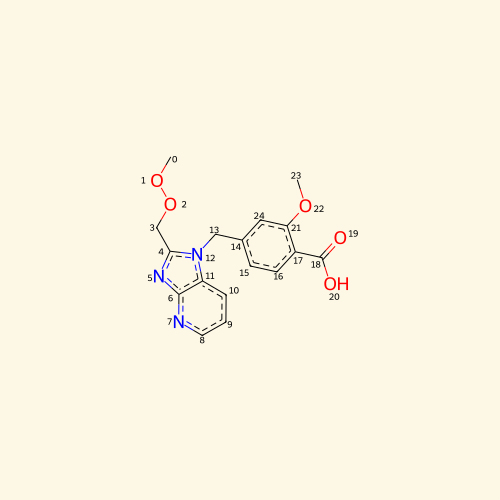 COOCc1nc2ncccc2n1Cc1ccc(C(=O)O)c(OC)c1